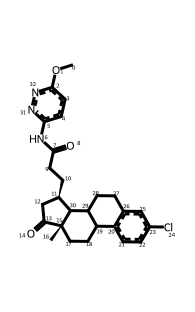 COc1ccc(NC(=O)CC[C@@H]2CC(=O)[C@@]3(C)CCC4c5ccc(Cl)cc5CCC4C23)nn1